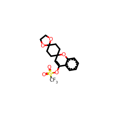 O=S(=O)(OC1=CC2(CCC3(CC2)OCCO3)Oc2ccccc21)C(F)(F)F